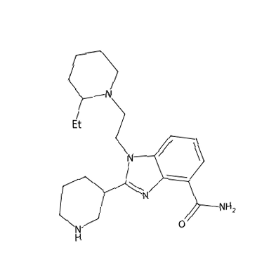 CCC1CCCCN1CCn1c(C2CCCNC2)nc2c(C(N)=O)cccc21